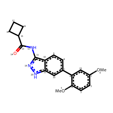 COc1ccc(OC)c(-c2ccc3c(NC(=O)C4CCC4)n[nH]c3c2)c1